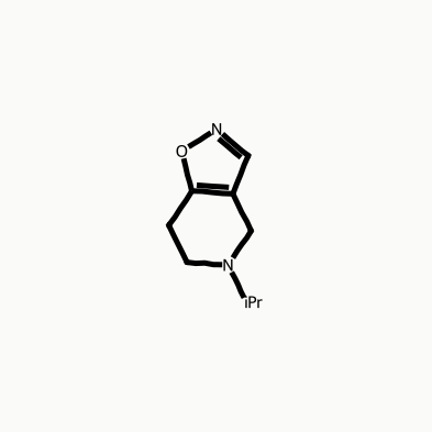 CC(C)N1CCc2oncc2C1